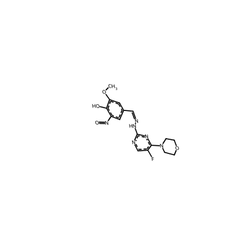 COc1cc(/C=N\Nc2ncc(F)c(N3CCOCC3)n2)cc(N=O)c1O